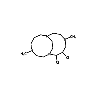 CN1CCCN2CCN(C)CC(Cl)C(Cl)N(CC1)CC2